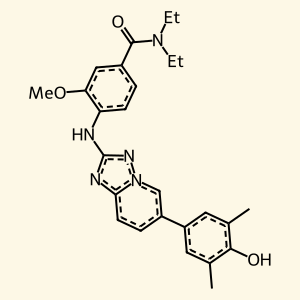 CCN(CC)C(=O)c1ccc(Nc2nc3ccc(-c4cc(C)c(O)c(C)c4)cn3n2)c(OC)c1